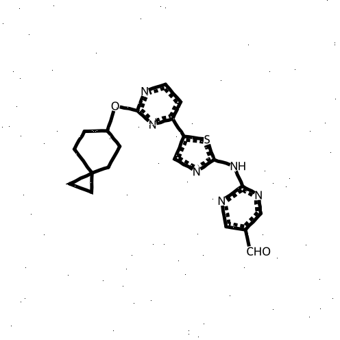 O=Cc1cnc(Nc2ncc(-c3ccnc(OC4CCC5(CC4)CC5)n3)s2)nc1